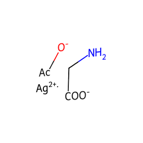 CC(=O)[O-].NCC(=O)[O-].[Ag+2]